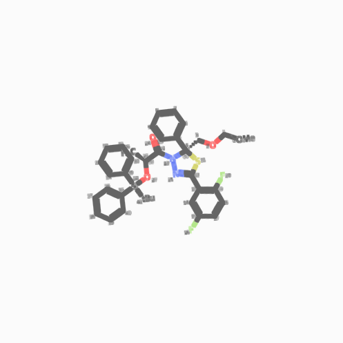 COCOC[C@]1(c2ccccc2)SC(c2cc(F)ccc2F)=NN1C(=O)[C@H](C)O[Si](c1ccccc1)(c1ccccc1)C(C)(C)C